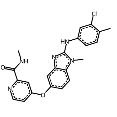 CNC(=O)c1cc(Oc2ccc3c(c2)nc(Nc2ccc(C)c(Cl)c2)n3C)ccn1